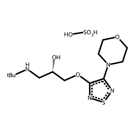 CC(C)(C)NC[C@H](O)COc1nsnc1N1CCOCC1.O=S(=O)(O)O